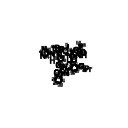 C=C[C@@H]1C[C@]1(NC(=O)[C@@H]1C[C@@H](Oc2nc(-c3ccc(OC(C)C)cc3)nc3c2oc2ccccc23)CN1C(=O)[C@@H](Nc1cncnc1)C(C)(C)C)C(=O)NS(=O)(=O)C1CC1